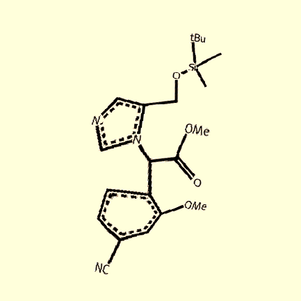 COC(=O)C(c1ccc(C#N)cc1OC)n1cncc1CO[Si](C)(C)C(C)(C)C